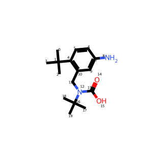 CC(C)(C)c1ccc(N)cc1CN(C(=O)O)C(C)(C)C